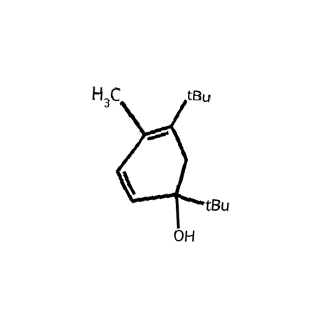 CC1=C(C(C)(C)C)CC(O)(C(C)(C)C)C=C1